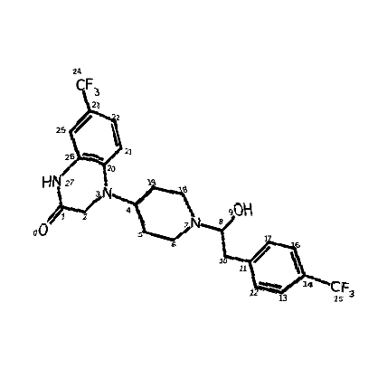 O=C1CN(C2CCN(C(O)Cc3ccc(C(F)(F)F)cc3)CC2)c2ccc(C(F)(F)F)cc2N1